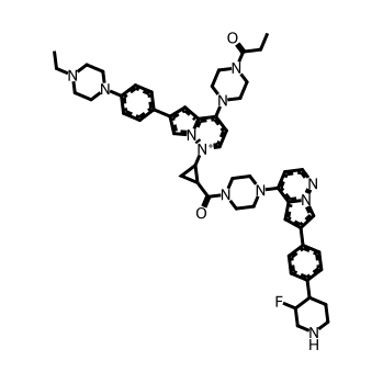 CCC(=O)N1CCN(c2cc[n+](C3CC3C(=O)N3CCN(c4ccnn5cc(-c6ccc(C7CCNCC7F)cc6)cc45)CC3)n3cc(-c4ccc(N5CCN(CC)CC5)cc4)cc23)CC1